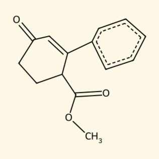 COC(=O)C1CCC(=O)C=C1c1ccccc1